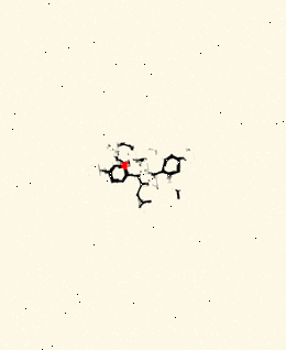 CCOc1cc(OC)ccc1C1=NC(CC(C)C)C(c2ccc(Cl)cc2)N1C(=O)N1CCN(C)CC1